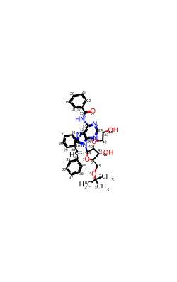 CC(C)(C)OC[C@H]1O[C@](n2cnc3c(NC(=O)c4ccccc4)ncnc32)([SiH](c2ccccc2)c2ccccc2)[C@H](OCCO)[C@@H]1O